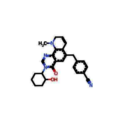 CN1CC=Cc2c(Cc3ccc(C#N)cc3)cc3c(=O)n(C4CCCCC4O)cnc3c21